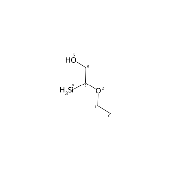 CCOC([SiH3])CO